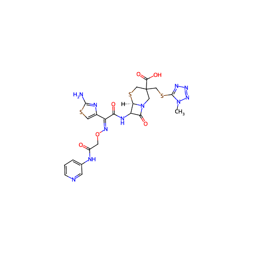 Cn1nnnc1SCC1(C(=O)O)CS[C@@H]2C(NC(=O)C(=NOCC(=O)Nc3cccnc3)c3csc(N)n3)C(=O)N2C1